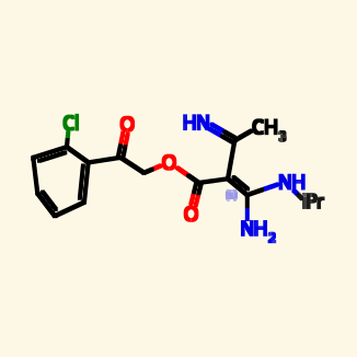 CC(=N)/C(C(=O)OCC(=O)c1ccccc1Cl)=C(/N)NC(C)C